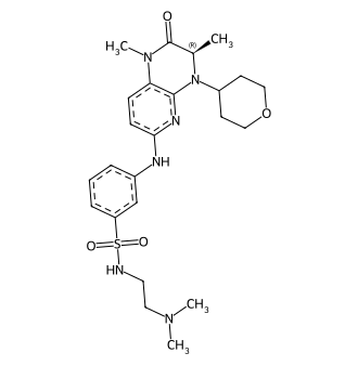 C[C@@H]1C(=O)N(C)c2ccc(Nc3cccc(S(=O)(=O)NCCN(C)C)c3)nc2N1C1CCOCC1